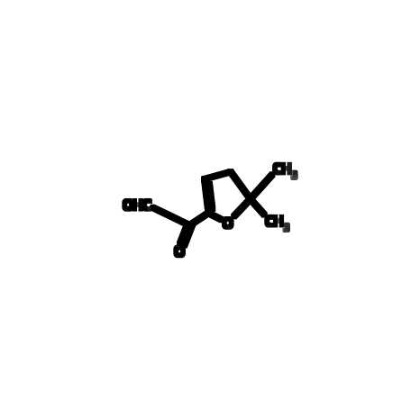 CC1(C)CC=C(C(=O)C=O)O1